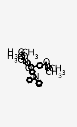 CCN(CC)C(=O)C1=CCC(C2=CC3(CCN(C(=O)OC(C)(C)C)CC3)Oc3ccc(N=C(c4ccccc4)c4ccccc4)cc32)C=C1